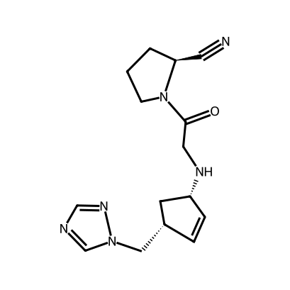 N#C[C@@H]1CCCN1C(=O)CN[C@@H]1C=C[C@H](Cn2cncn2)C1